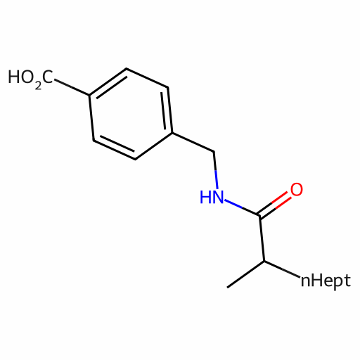 CCCCCCCC(C)C(=O)NCc1ccc(C(=O)O)cc1